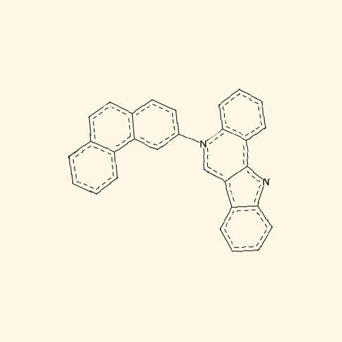 c1ccc2c(c1)ccc1ccc(-n3cc4c5ccccc5nc-4c4ccccc43)cc12